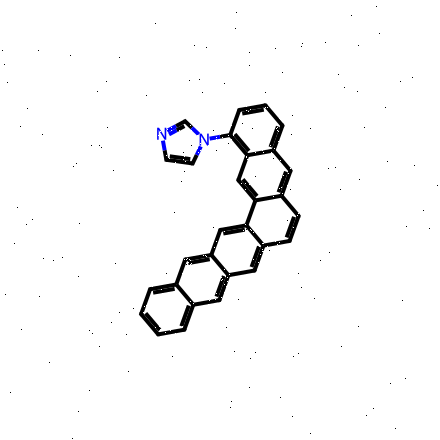 c1ccc2cc3cc4c(ccc5cc6cccc(-n7ccnc7)c6cc54)cc3cc2c1